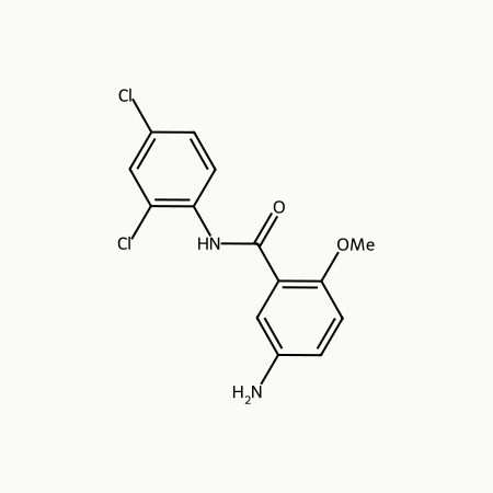 COc1ccc(N)cc1C(=O)Nc1ccc(Cl)cc1Cl